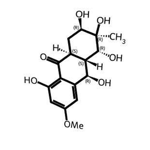 COc1cc(O)c2c(c1)[C@H](O)[C@@H]1[C@H](C[C@@H](O)[C@@](C)(O)[C@@H]1O)C2=O